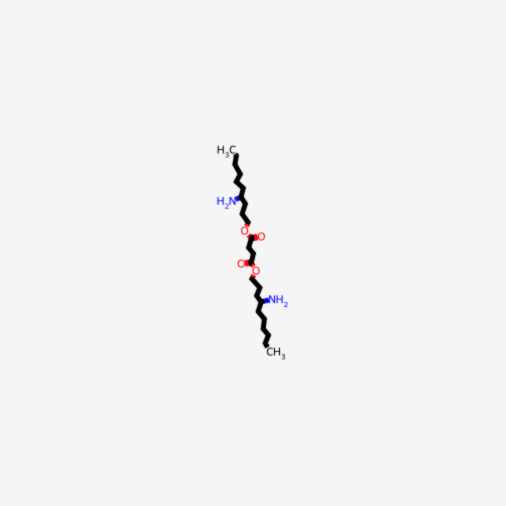 CCCCCCC(N)CCCOC(=O)CCC(=O)OCCCC(N)CCCCCC